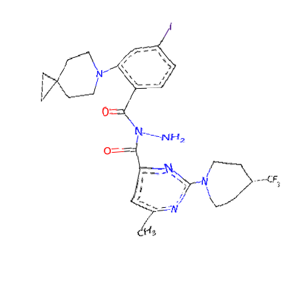 Cc1cc(C(=O)N(N)C(=O)c2ccc(I)cc2N2CCC3(CC2)CC3)nc(N2CCC(C(F)(F)F)CC2)n1